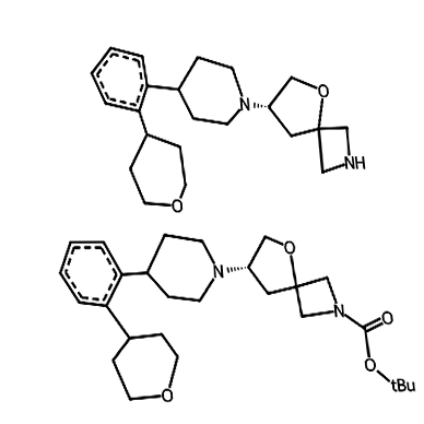 CC(C)(C)OC(=O)N1CC2(C[C@H](N3CCC(c4ccccc4C4CCOCC4)CC3)CO2)C1.c1ccc(C2CCN([C@@H]3COC4(CNC4)C3)CC2)c(C2CCOCC2)c1